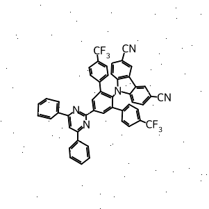 N#Cc1ccc2c(c1)c1cc(C#N)ccc1n2-c1c(-c2ccc(C(F)(F)F)cc2)cc(-c2nc(-c3ccccc3)cc(-c3ccccc3)n2)cc1-c1ccc(C(F)(F)F)cc1